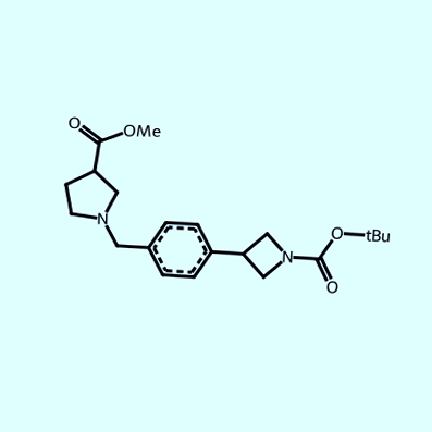 COC(=O)C1CCN(Cc2ccc(C3CN(C(=O)OC(C)(C)C)C3)cc2)C1